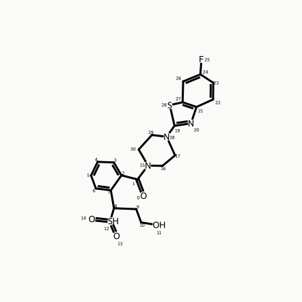 O=C(c1ccccc1C(CCO)[SH](=O)=O)N1CCN(c2nc3ccc(F)cc3s2)CC1